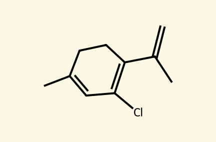 C=C(C)C1=C(Cl)C=C(C)CC1